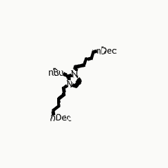 CCCCCCCCCCCCCCCN1C=CN(CCCCCCCCCCCCCCC)C1CCCC